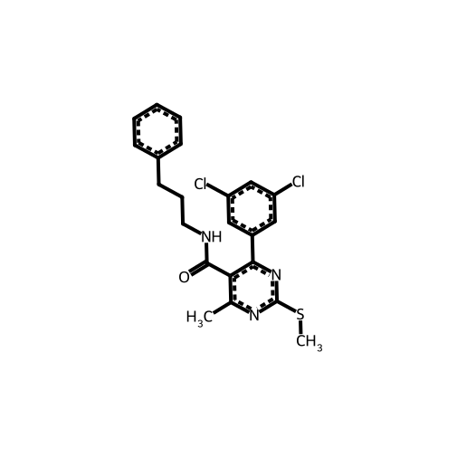 CSc1nc(C)c(C(=O)NCCCc2ccccc2)c(-c2cc(Cl)cc(Cl)c2)n1